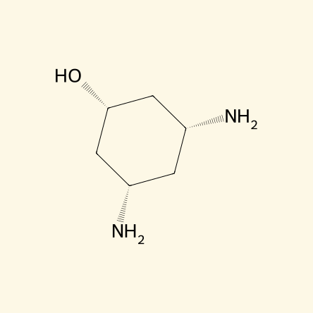 N[C@@H]1C[C@H](N)C[C@H](O)C1